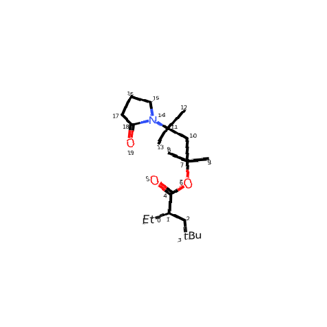 CCC(CC(C)(C)C)C(=O)OC(C)(C)CC(C)(C)N1CCCC1=O